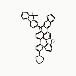 CC1(C)c2ccccc2-c2ccc(N(c3ccc(-c4ccc(C5CCCCC5)cc4)cc3)c3cc4ccccc4cc3-c3ccc4c(c3)oc3ccccc34)cc21